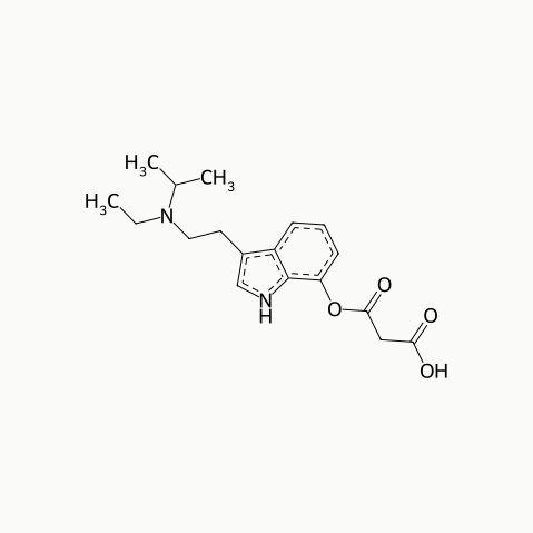 CCN(CCc1c[nH]c2c(OC(=O)CC(=O)O)cccc12)C(C)C